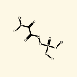 CCOP(=O)(OCC)O[N]C(=O)C(=O)N(CC)CC